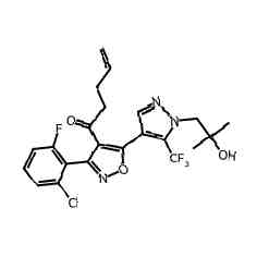 C=CCCC(=O)c1c(-c2c(F)cccc2Cl)noc1-c1cnn(CC(C)(C)O)c1C(F)(F)F